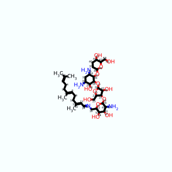 CC(C)=CCC/C(C)=C/CC/C(C)=C/C=N/CC1OC(OC2C(CO)OC(OC3C(O)C(N)CC(N)C3OC3CCC(O)C(CO)O3)C2O)C(N)C(O)C1O